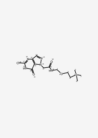 CS(C)(C)CCOCNC(=O)Cn1ncc2nc(Cl)[nH]c(=O)c21